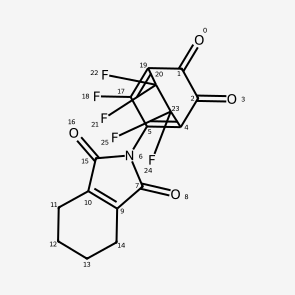 O=C1C(=O)C2=C(N3C(=O)C4=C(CCCC4)C3=O)C(F)=C1C(F)(F)C2(F)F